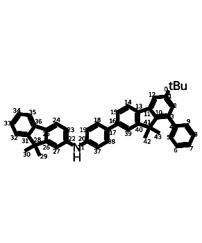 CC(C)(C)c1cc(-c2ccccc2)c2c(c1)-c1ccc(-c3ccc(Nc4ccc5c(c4)C(C)(C)c4ccccc4-5)cc3)cc1C2(C)C